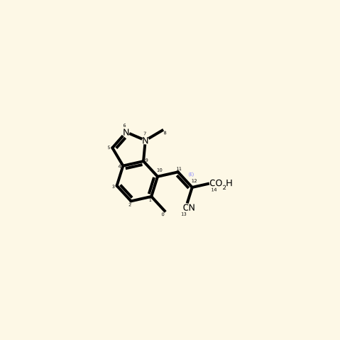 Cc1ccc2cnn(C)c2c1/C=C(\C#N)C(=O)O